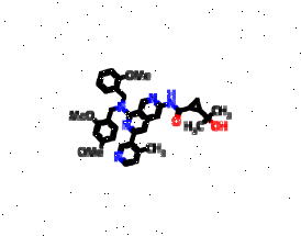 COc1ccc(CN(Cc2ccccc2OC)c2nc(-c3cnccc3C)cc3cc(NC(=O)C4CC4C(C)(C)O)ncc23)c(OC)c1